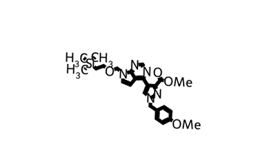 COC(=O)c1nn(Cc2ccc(OC)cc2)cc1-c1ncnc2c1ccn2COCC[Si](C)(C)C